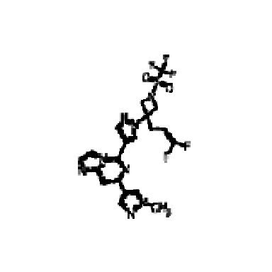 Cn1cc(-c2cc3nccn3c(-c3cnn(C4(CC=C(F)F)CN(S(=O)(=O)C(F)(F)F)C4)c3)n2)cn1